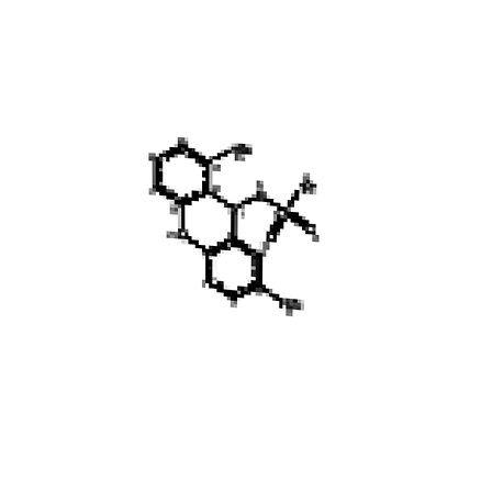 CCCCc1ccc2c(c1)N(OS(=O)(=O)CCC)c1c(CCCC)cccc1O2